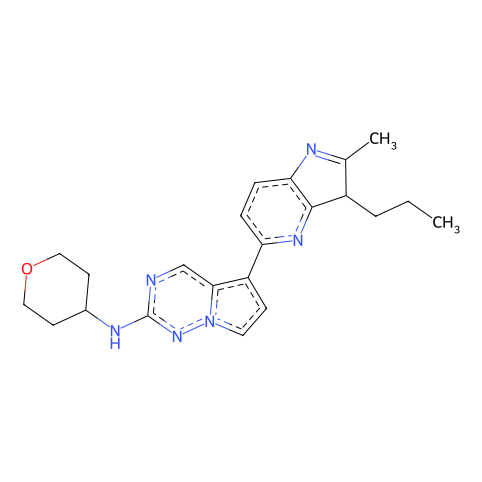 CCCC1C(C)=Nc2ccc(-c3ccn4nc(NC5CCOCC5)ncc34)nc21